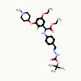 CCOC(=O)C(Nc1ccc(C=NNC(=O)OC(C)(C)C)cc1)c1cc(OCC)cc(OC2CCN(C)CC2)c1F